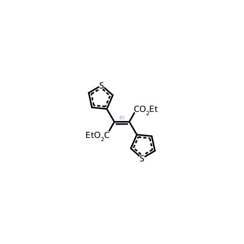 CCOC(=O)/C(=C(/C(=O)OCC)c1ccsc1)c1ccsc1